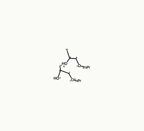 CCCOCC(C)O.CCCOCC(C)O